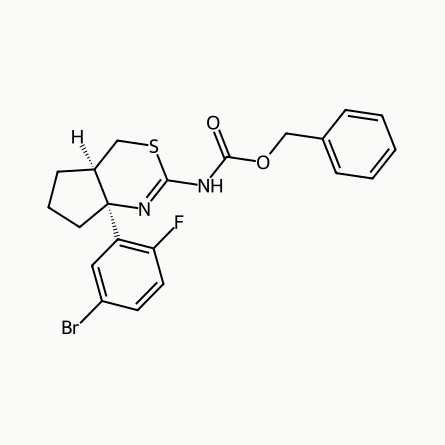 O=C(NC1=N[C@@]2(c3cc(Br)ccc3F)CCC[C@H]2CS1)OCc1ccccc1